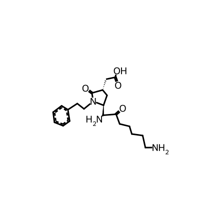 NCCCCCC(=O)C(N)[C@@H]1C[C@@H](CC(=O)O)C(=O)N1CCc1ccccc1